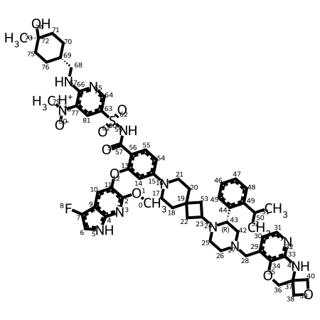 COc1nc2[nH]cc(F)c2cc1Oc1cc(N2CCC3(CC2)CC(N2CCN(Cc4ccnc5c4OCC4(COC4)N5)C[C@H]2c2ccccc2C(C)C)C3)ccc1C(=O)NS(=O)(=O)c1cnc(NC[C@H]2CC[C@](C)(O)CC2)c([NH+](C)[O-])c1